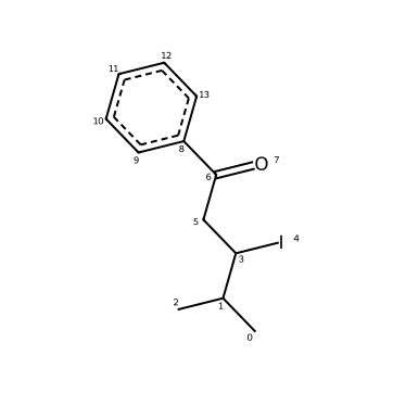 CC(C)C(I)CC(=O)c1ccccc1